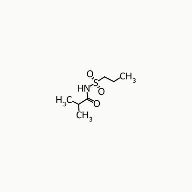 CCCS(=O)(=O)NC(=O)C(C)C